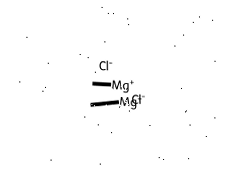 [CH3][Mg+].[CH3][Mg+].[Cl-].[Cl-]